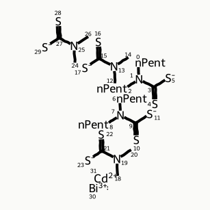 CCCCCN(CCCCC)C(=S)[S-].CCCCCN(CCCCC)C(=S)[S-].CN(C)C(=S)[S-].CN(C)C(=S)[S-].CN(C)C(=S)[S-].[Bi+3].[Cd+2]